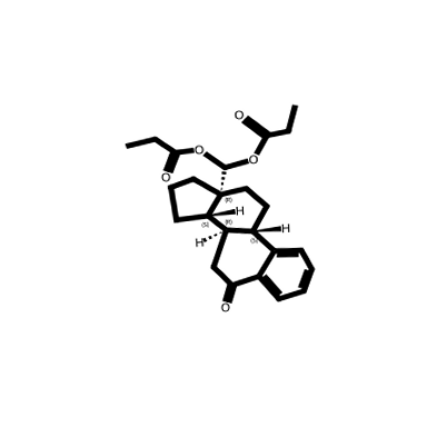 CCC(=O)OC(OC(=O)CC)[C@@]12CCC[C@H]1[C@@H]1CC(=O)c3ccccc3[C@H]1CC2